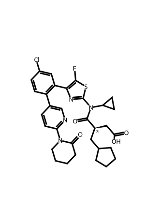 O=C(O)C[C@@H](CC1CCCC1)C(=O)N(c1nc(-c2cc(Cl)ccc2-c2ccc(N3CCCCC3=O)nc2)c(F)s1)C1CC1